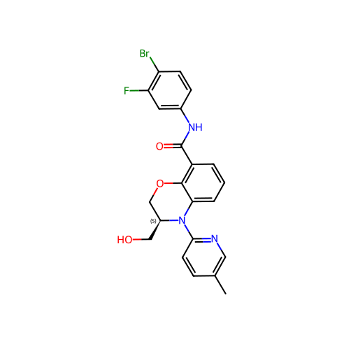 Cc1ccc(N2c3cccc(C(=O)Nc4ccc(Br)c(F)c4)c3OC[C@@H]2CO)nc1